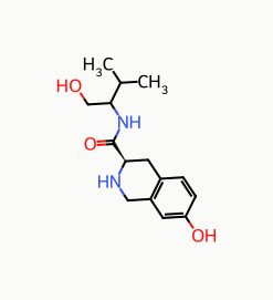 CC(C)C(CO)NC(=O)[C@H]1Cc2ccc(O)cc2CN1